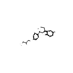 CCOC(=O)N1CCc2c([nH]c3ccc(Cl)cc23)C1c1ccc(OCC(O)CN)cc1